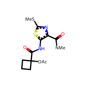 CNC(=O)c1nc(SC)sc1NC(=O)C1(OC(C)=O)CCC1